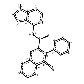 C[C@H](Nc1ncnc2[nH]cnc12)c1cc2ncccc2c(=O)n1-c1ccccc1